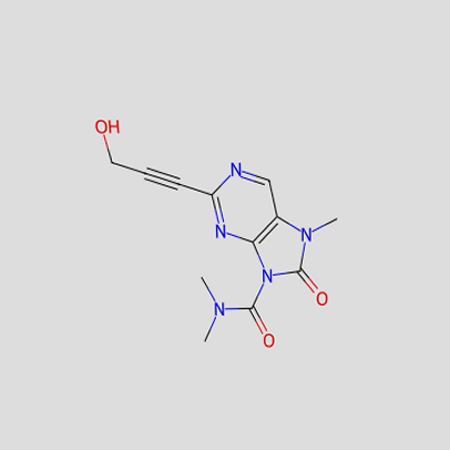 CN(C)C(=O)n1c(=O)n(C)c2cnc(C#CCO)nc21